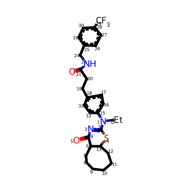 CCN(C1=NC(=O)C2CCCCCCC2S1)c1ccc(CCC(=O)NCc2ccc(C(F)(F)F)cc2)cc1